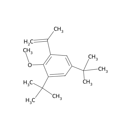 C=C(C)c1cc(C(C)(C)C)cc(C(C)(C)C)c1OC